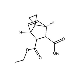 CCOC(=O)C1C(C(=O)O)[C@@H]2C=C[C@H]1C21CC1